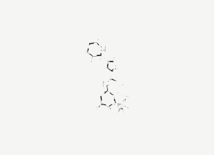 Cc1cccnc1-c1csc(C(=O)Nc2cc(F)cc(S(C)(=O)=O)c2)c1